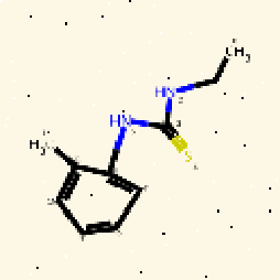 CCNC(=S)Nc1ccccc1C